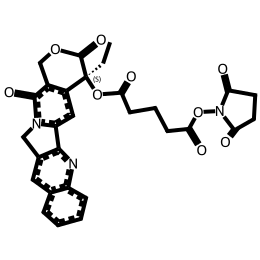 CC[C@@]1(OC(=O)CCCC(=O)ON2C(=O)CCC2=O)C(=O)OCc2c1cc1n(c2=O)Cc2cc3ccccc3nc2-1